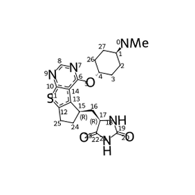 CN[C@H]1CC[C@H](Oc2ncnc3sc4c(c23)[C@@H](C[C@H]2NC(=O)NC2=O)CC4)CC1